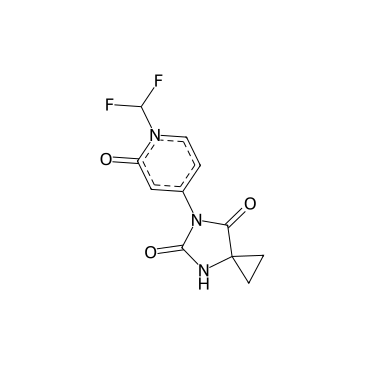 O=C1NC2(CC2)C(=O)N1c1ccn(C(F)F)c(=O)c1